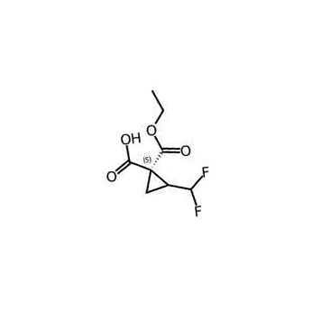 CCOC(=O)[C@@]1(C(=O)O)CC1C(F)F